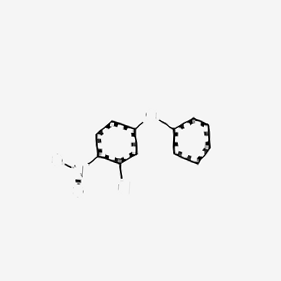 O=[N+]([O-])c1ccc(Oc2ccccc2)cc1Cl